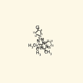 CC(C)c1nc(-c2ccc(Cl)cc2)nnc1NC(C)N1CCCCC1